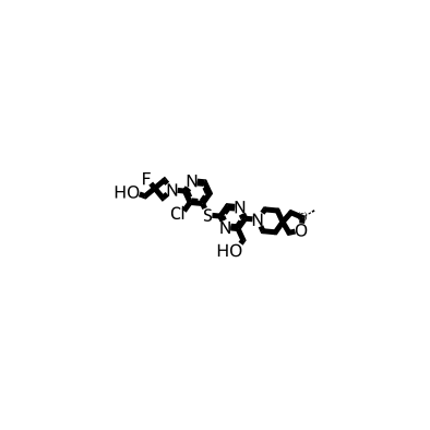 C[C@H]1CC2(CCN(c3ncc(Sc4ccnc(N5CC(F)(CO)C5)c4Cl)nc3CO)CC2)CO1